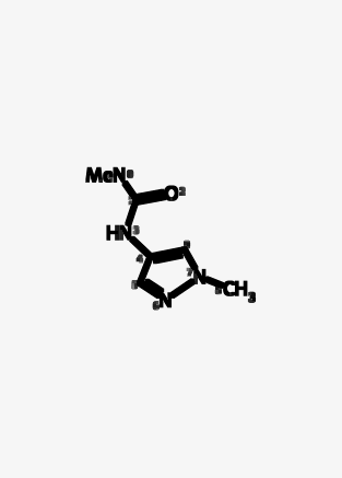 CNC(=O)Nc1cnn(C)c1